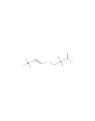 FC(F)C(F)(F)COC=CC(F)(F)F